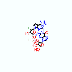 Nc1nc2c(ncn2[C@@H]2O[C@H](CO)C(O)[C@@H]2OP(=O)(S)OC[C@H]2O[C@@H](n3ccc4c(N)ncnc43)[C@@H](F)C2O)c(=O)[nH]1